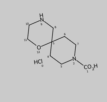 Cl.O=C(O)N1CCC2(CC1)CNCCO2